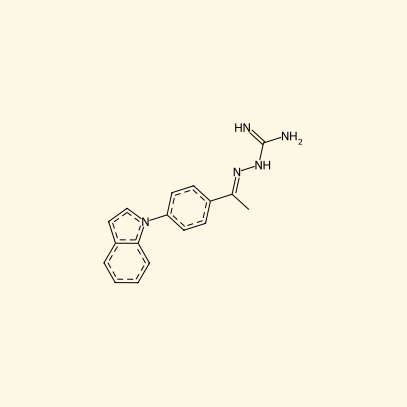 C/C(=N\NC(=N)N)c1ccc(-n2ccc3ccccc32)cc1